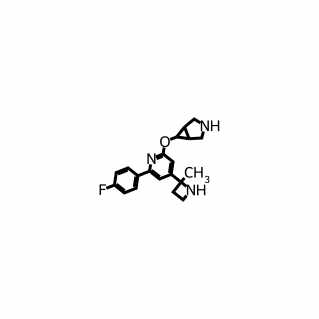 CC1(c2cc(OC3C4CNCC43)nc(-c3ccc(F)cc3)c2)CCN1